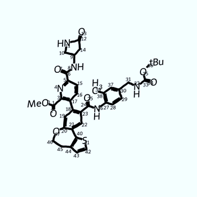 COC(=O)c1nc(C(=O)NC2CNC(=O)C2)ccc1-c1cc2c(cc1C(=O)Nc1ccc(CNC(=O)OC(C)(C)C)cc1C)-c1sccc1CCO2